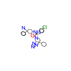 N#CC1(c2ccccc2)CCC(N[C@H](Cc2ccc(Cl)cc2)C(=O)N2CCC(Cn3cncn3)(C3CCCCC3)CC2)CC1